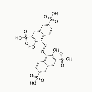 O=S(=O)(O)c1ccc2c(N=Nc3c(O)c(S(=O)(=O)O)cc4cc(S(=O)(=O)O)ccc34)c(O)c(S(=O)(=O)O)cc2c1